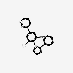 Cc1cc(-c2cccnn2)cc(C(C)C)c1-n1cccc1-c1ccccc1